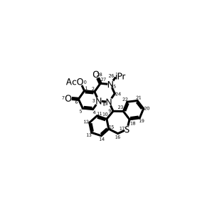 CC(=O)Oc1c2n(ccc1=O)N(C1c3ccccc3CSc3ccccc31)CN(C(C)C)C2=O